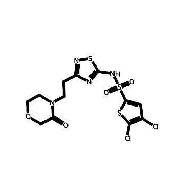 O=C1COCCN1CCc1nsc(NS(=O)(=O)c2cc(Cl)c(Cl)s2)n1